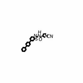 N#CN1CC[C@@H](C(=O)Nc2nc3ccc(-c4ccc(-c5ccccc5)cc4)cc3s2)C1